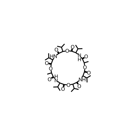 CC1OC(=O)C(C(C)C)NC(=O)C(C(C)C)OC(=O)C(C(C)C)NC(=O)C(C)OC(=O)C(C(C)C)NC(=O)C(C(C)C)OC(=O)C(C(C)C)NC1=O